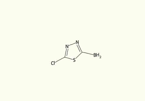 Bc1nnc(Cl)s1